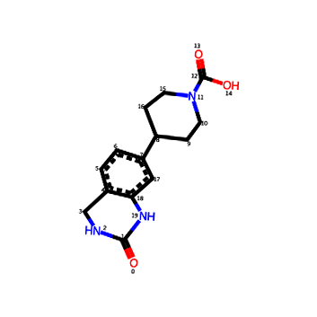 O=C1NCc2ccc(C3CCN(C(=O)O)CC3)cc2N1